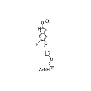 CCOc1nc2cc(F)c(OC[C@H]3C[C@H](OC[C@H](C)NC(C)=O)C3)nc2s1